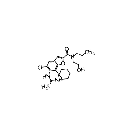 C=C1Nc2c(Cl)cc3cc(C(=O)N(CCC)CCO)oc3c2C2(CCCCC2)N1